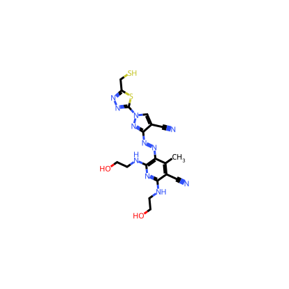 Cc1c(C#N)c(NCCO)nc(NCCO)c1/N=N/c1nn(-c2nnc(CS)s2)cc1C#N